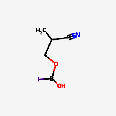 CC(C#N)COB(O)I